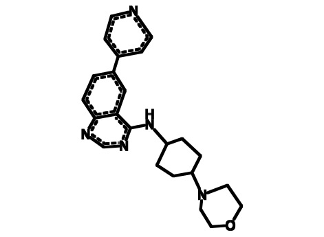 c1cc(-c2ccc3ncnc(NC4CCC(N5CCOCC5)CC4)c3c2)ccn1